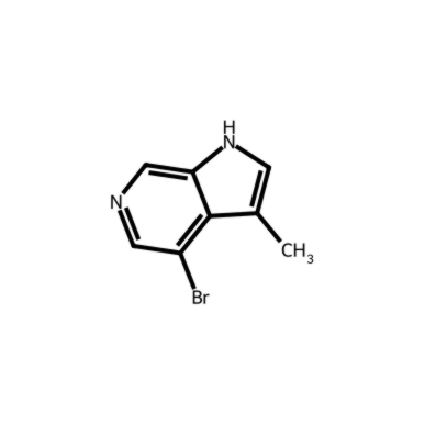 Cc1c[nH]c2cncc(Br)c12